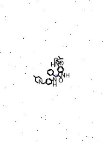 CC1CCN(Cc2ccc(N/C(=C3\C(=O)Nc4ccc(NS(=O)(=O)C(C)C)cc43)c3ccccc3)cc2)CC1